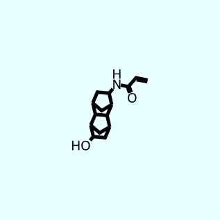 C=CC(=O)NC1CC2CC1C1C3CC(O)C(C3)C21